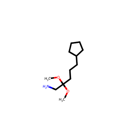 COC(CN)(CCCC1CCCC1)OC